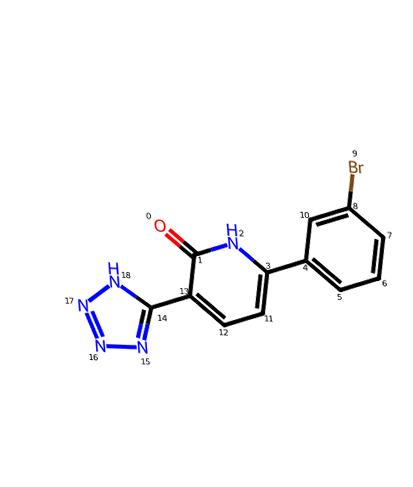 O=c1[nH]c(-c2cccc(Br)c2)ccc1-c1nnn[nH]1